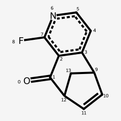 O=C1c2c(ccnc2F)C2C=CC1C2